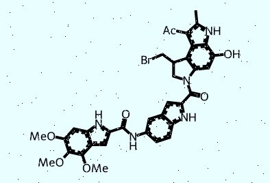 COc1cc2[nH]c(C(=O)Nc3ccc4[nH]c(C(=O)N5CC(CBr)c6c5cc(O)c5[nH]c(C)c(C(C)=O)c65)cc4c3)cc2c(OC)c1OC